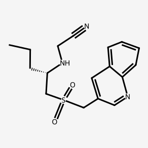 CCC[C@@H](CS(=O)(=O)Cc1cnc2ccccc2c1)NCC#N